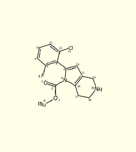 CC(C)(C)OC(=O)n1c(-c2c(F)cccc2Cl)cc2c1CCNC2